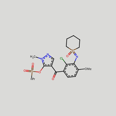 CCCS(=O)(=O)Oc1c(C(=O)c2ccc(OC)c(N=S3(=O)CCCCC3)c2Cl)cnn1C